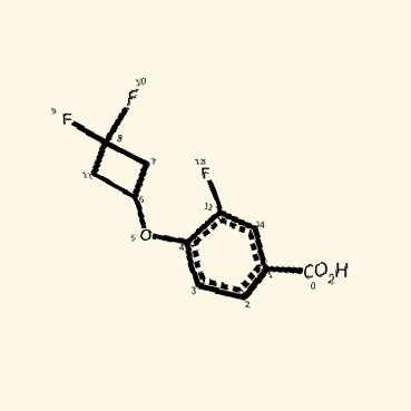 O=C(O)c1ccc(OC2CC(F)(F)C2)c(F)c1